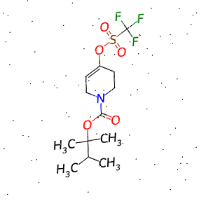 CC(C)C(C)(C)OC(=O)N1CC=C(OS(=O)(=O)C(F)(F)F)CC1